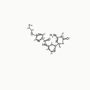 CN1C(=O)CC(C)(c2cc(NC(=O)c3cnc(OCCF)cn3)ccn2)N=C1N